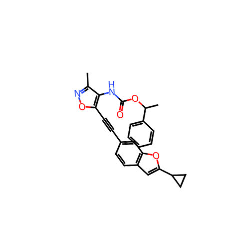 Cc1noc(C#Cc2ccc3cc(C4CC4)oc3c2)c1NC(=O)OC(C)c1ccccc1